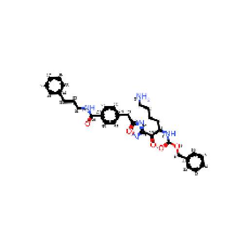 NCCCCC(NC(=O)OCc1ccccc1)C(=O)c1noc(Cc2ccc(C(=O)NC/C=C/c3ccccc3)cc2)n1